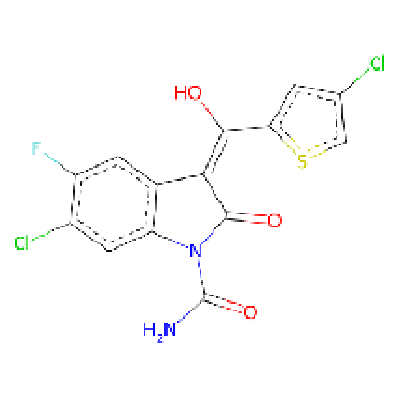 NC(=O)N1C(=O)/C(=C(/O)c2cc(Cl)cs2)c2cc(F)c(Cl)cc21